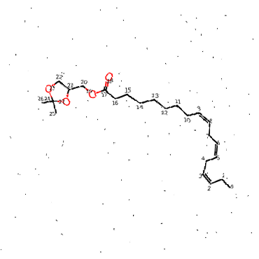 CC/C=C\C/C=C\C/C=C\CCCCCCCC(=O)OCC1COC(C)(C)O1